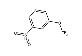 O=[SH](=O)c1cccc(OC(F)(F)F)c1